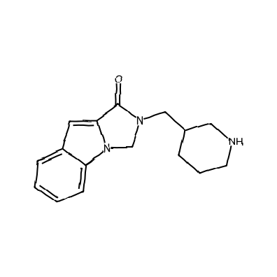 O=C1c2cc3ccccc3n2CN1CC1CCCNC1